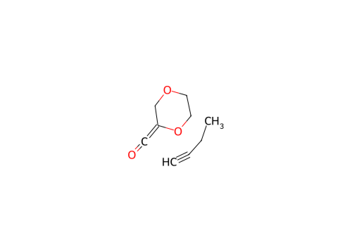 C#CCC.O=C=C1COCCO1